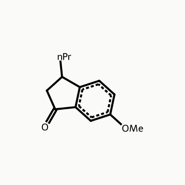 CCCC1CC(=O)c2cc(OC)ccc21